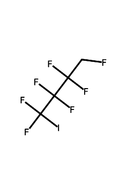 FCC(F)(F)C(F)(F)C(F)(F)I